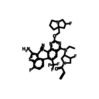 C=CC(=O)N1CC(F)C(N(CC)c2nc(OCC34CCCN3CC(F)C4)nc3c(F)c(-c4ccc(F)c5sc(N)c(C#N)c45)c(C(F)(F)F)cc23)C1